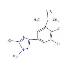 Cn1cc(-c2cc(Cl)c(F)c(C(C)(C)C)c2)nc1Cl